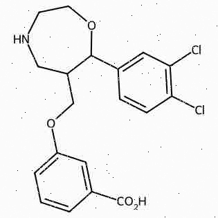 O=C(O)c1cccc(OCC2CNCCOC2c2ccc(Cl)c(Cl)c2)c1